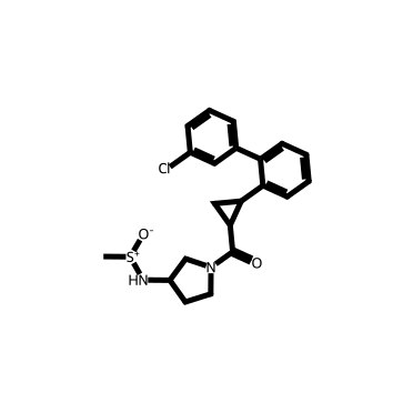 C[S+]([O-])NC1CCN(C(=O)C2CC2c2ccccc2-c2cccc(Cl)c2)C1